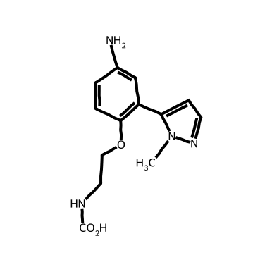 Cn1nccc1-c1cc(N)ccc1OCCNC(=O)O